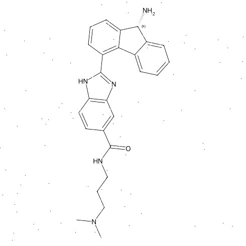 CN(C)CCCNC(=O)c1ccc2[nH]c(-c3cccc4c3-c3ccccc3[C@H]4N)nc2c1